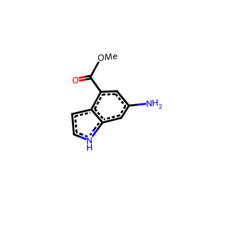 COC(=O)c1cc(N)cc2[nH]ccc12